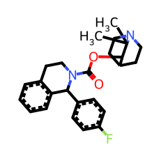 CC1(C)C(OC(=O)N2CCc3ccccc3C2c2ccc(F)cc2)C2CCN1CC2